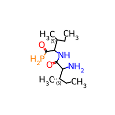 CC[C@H](C)C(N)C(=O)NC(C(=O)P)[C@@H](C)CC